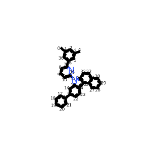 Cc1cc(C)cc(-c2cccc(-n3c4cc(-c5ccccc5)ccc4c4c5ccccc5ccc43)n2)c1